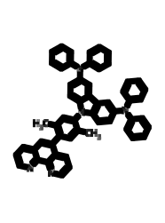 Cc1cc(-n2c3ccc(N(c4ccccc4)c4ccccc4)cc3c3cc(N(c4ccccc4)c4ccccc4)ccc32)c(C)cc1-c1cc2cccnc2c2ncccc12